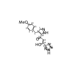 COc1ccc(Cc2cn[nH]c2C(=O)C=C(O)c2nn[nH]n2)cc1